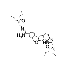 CCCC(=O)N(C/C=N/C=C(\N)c1ccc2c(c1)COc1cc3c(ccc4nc(CN(CC(C)C)C(=O)CCC)[nH]c43)cc1-2)CCC